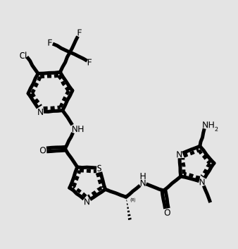 C[C@@H](NC(=O)c1nc(N)cn1C)c1ncc(C(=O)Nc2cc(C(F)(F)F)c(Cl)cn2)s1